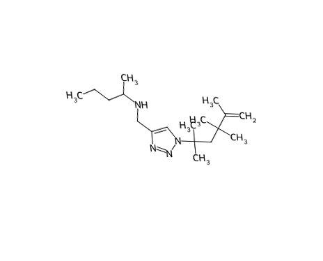 C=C(C)C(C)(C)CC(C)(C)n1cc(CNC(C)CCC)nn1